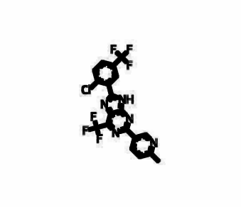 Cc1ccc(-c2nc(C(F)(F)F)c3nc(-c4cc(C(F)(F)F)ccc4Cl)[nH]c3n2)cn1